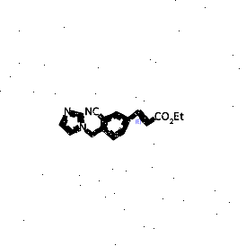 CCOC(=O)/C=C/c1ccc(Cn2ccnc2)c(C#N)c1